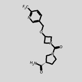 NC(=O)[C@H]1CCN(C(=O)N2CC(OCc3ccc(C(F)(F)F)nc3)C2)C1